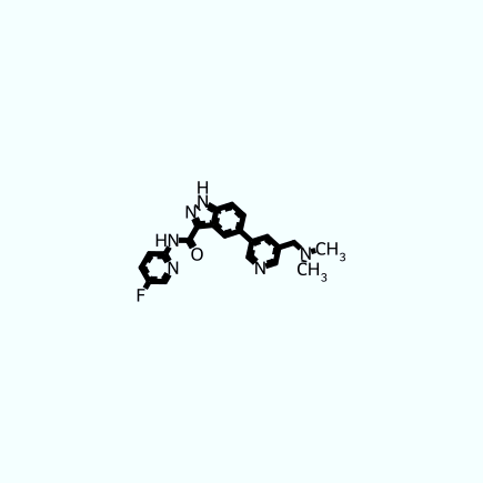 CN(C)Cc1cncc(-c2ccc3[nH]nc(C(=O)Nc4ccc(F)cn4)c3c2)c1